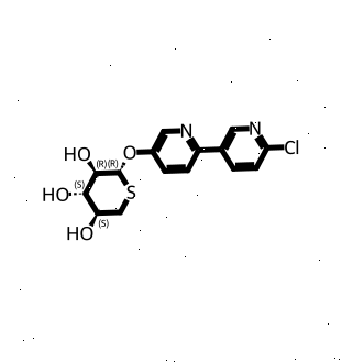 O[C@@H]1[C@@H](O)[C@H](Oc2ccc(-c3ccc(Cl)nc3)nc2)SC[C@H]1O